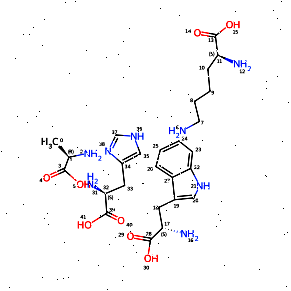 C[C@@H](N)C(=O)O.NCCCC[C@H](N)C(=O)O.N[C@@H](Cc1c[nH]c2ccccc12)C(=O)O.N[C@@H](Cc1c[nH]cn1)C(=O)O